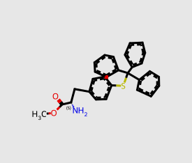 COC(=O)[C@@H](N)Cc1ccc(SC(c2ccccc2)(c2ccccc2)c2ccccc2)cc1